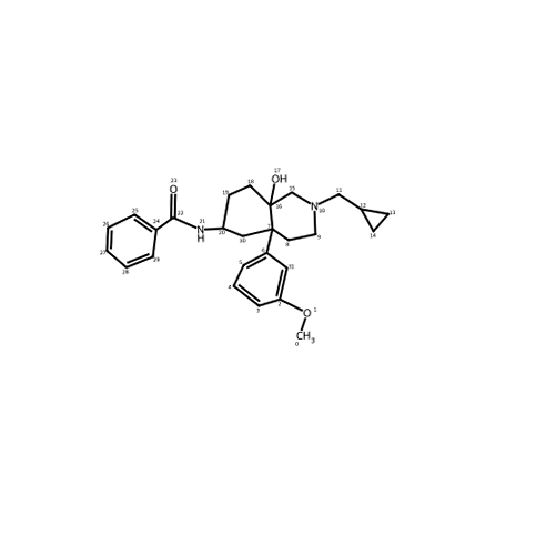 COc1cccc(C23CCN(CC4CC4)CC2(O)CCC(NC(=O)c2ccccc2)C3)c1